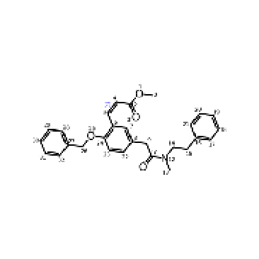 COC(=O)/C=C\c1cc(CC(=O)N(C)CCc2ccccc2)ccc1OCc1ccccc1